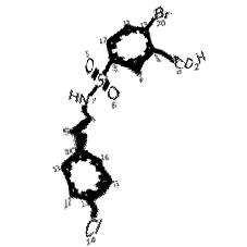 O=C(O)c1cc(S(=O)(=O)NCCc2ccc(Cl)cc2)ccc1Br